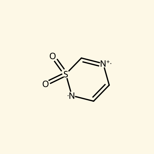 O=S1(=O)C=[N+]C=C[N]1